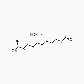 ClCCCCCCCCCCC(Cl)Br.[SiH3]Cl